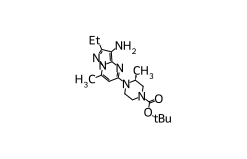 CCc1nn2c(C)cc(N3CCN(C(=O)OC(C)(C)C)C[C@@H]3C)nc2c1N